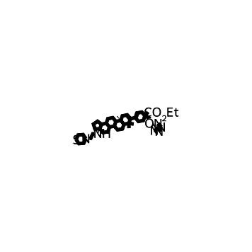 CCOC(=O)C1(COc2nnnn2C)CC=C(C2=CC[C@]3(C)C4CCC5C(CC[C@@]6(NCCN7CCSCC7)CCCC56)C4CCC3C2(C)C)CC1